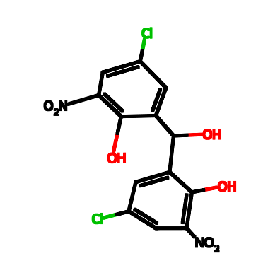 O=[N+]([O-])c1cc(Cl)cc(C(O)c2cc(Cl)cc([N+](=O)[O-])c2O)c1O